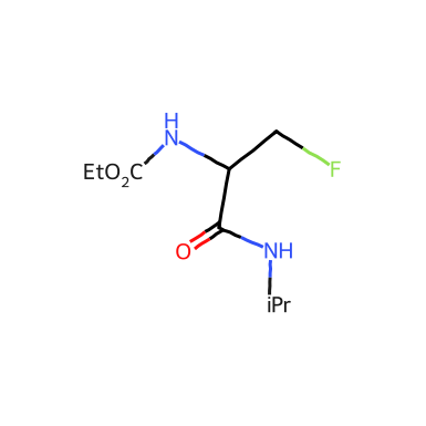 CCOC(=O)NC(CF)C(=O)NC(C)C